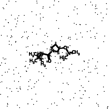 CN(C)O[C@@H]1CCN(C(=O)NC(C)(C)C)C1